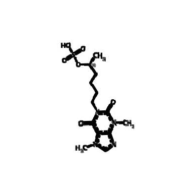 C[C@@H](CCCCn1c(=O)c2c(ncn2C)n(C)c1=O)OS(=O)(=O)O